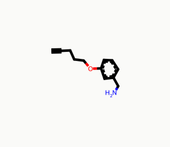 C#CCCCOc1cccc(CN)c1